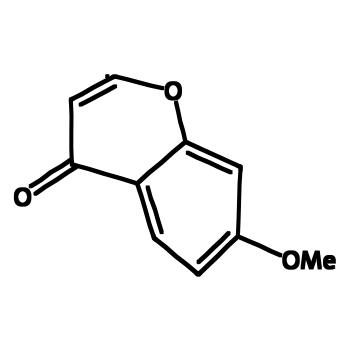 COc1ccc2c(=O)c[c]oc2c1